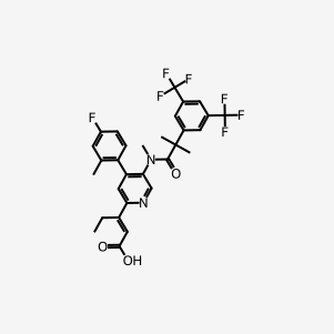 CCC(=CC(=O)O)c1cc(-c2ccc(F)cc2C)c(N(C)C(=O)C(C)(C)c2cc(C(F)(F)F)cc(C(F)(F)F)c2)cn1